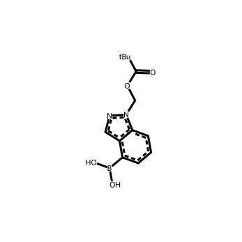 CC(C)(C)C(=O)OCn1ncc2c(B(O)O)cccc21